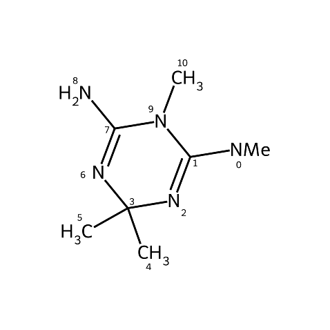 CNC1=NC(C)(C)N=C(N)N1C